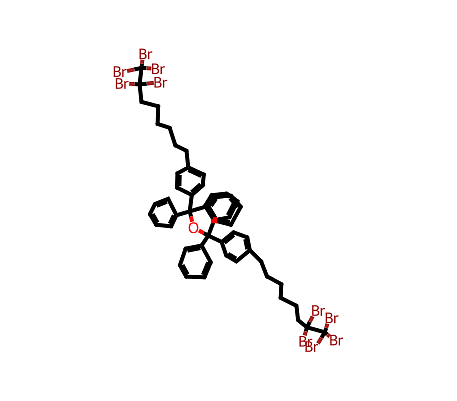 BrC(Br)(Br)C(Br)(Br)CCCCCCc1ccc(C(OC(c2ccccc2)(c2ccccc2)c2ccc(CCCCCCC(Br)(Br)C(Br)(Br)Br)cc2)(c2ccccc2)c2ccccc2)cc1